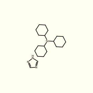 C1CC[CH]([Sn]([CH]2CCCCC2)[CH]2CCCCC2)CC1.c1nc[nH]n1